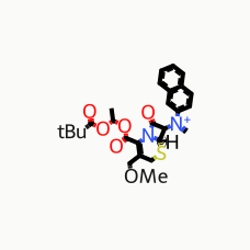 C=[N+](c1ccc2ccccc2c1)C1C(=O)N2C(C(=O)OC(C)OC(=O)C(C)(C)C)=C(COC)CS[C@@H]12